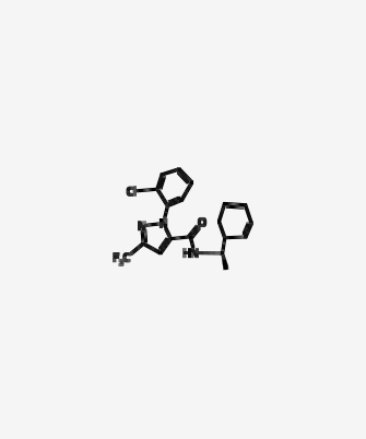 C[C@@H](NC(=O)c1cc(C(F)(F)F)nn1-c1ccccc1Cl)C1C=CC=CC1